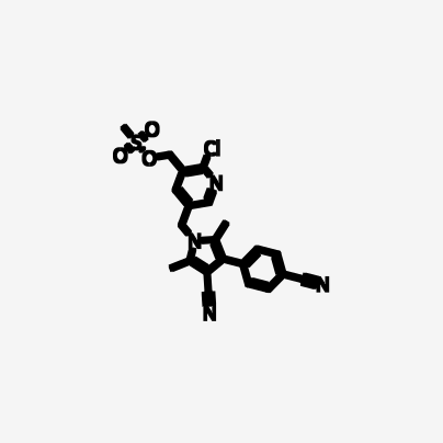 Cc1c(C#N)c(-c2ccc(C#N)cc2)c(C)n1Cc1cnc(Cl)c(COS(C)(=O)=O)c1